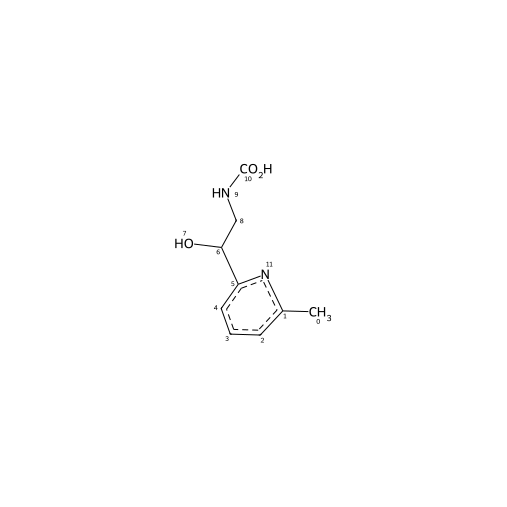 Cc1cccc(C(O)CNC(=O)O)n1